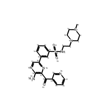 CN1CCN(CCNS(=O)(=O)c2cccc(-c3cnc(N)c(C(=O)c4cccnc4)n3)c2)CC1